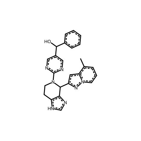 Cc1cccn2nc(C3c4nc[nH]c4CCN3c3ncc(C(O)c4ccccc4)cn3)cc12